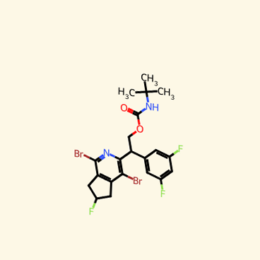 CC(C)(C)NC(=O)OCC(c1cc(F)cc(F)c1)c1nc(Br)c2c(c1Br)CC(F)C2